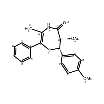 COc1ccc([C@@H]2SC(c3ccccc3)=C(C)NC(=O)[C@@H]2OC(C)=O)cc1